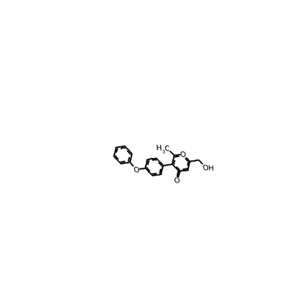 Cc1oc(CO)cc(=O)c1-c1ccc(Oc2ccccc2)cc1